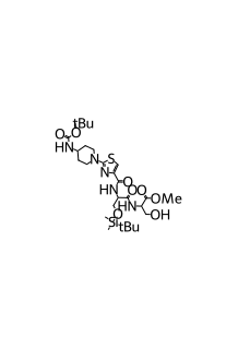 COC(=O)C(CO)NC(=O)C(CO[Si](C)(C)C(C)(C)C)NC(=O)c1csc(N2CCC(NC(=O)OC(C)(C)C)CC2)n1